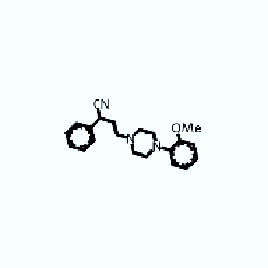 COc1ccccc1N1CCN(CCC(C#N)c2ccccc2)CC1